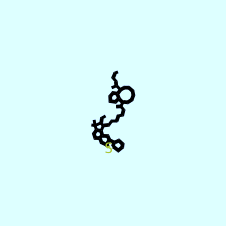 C=C(/C=C\C=C\C/C=C1\C(=C/C)C(C)(C)c2ccc3cc4sc5ccccc5c4cc3c21)c1ccccccc(/C(C)=C/C=C\C)c2ccccc12